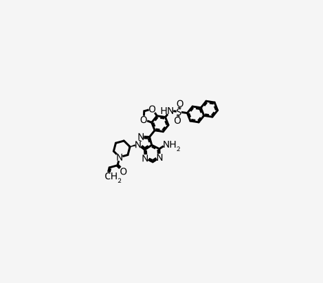 C=CC(=O)N1CCC[C@@H](n2nc(-c3ccc(NS(=O)(=O)c4ccc5ccccc5c4)c4c3OCO4)c3c(N)ncnc32)C1